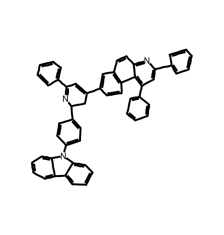 C1=C(c2ccc3c(ccc4nc(-c5ccccc5)cc(-c5ccccc5)c43)c2)CC(c2ccc(-n3c4ccccc4c4ccccc43)cc2)N=C1c1ccccc1